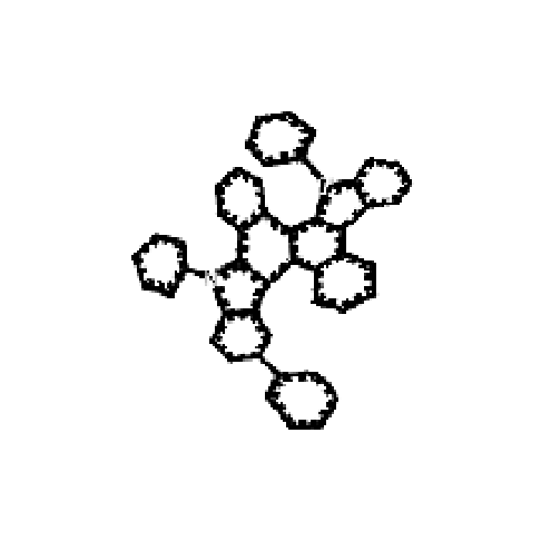 c1ccc(-c2ccc3c(c2)c2c4c5ccccc5c5c6ccccc6n(-c6ccccc6)c5c4c4ccccc4c2n3-c2ccccc2)cc1